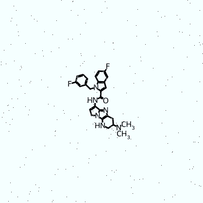 CN(C)C1CNc2c(nc3n2CC=C3NC(=O)c2cc3cc(F)ccc3n2Cc2cccc(F)c2)C1